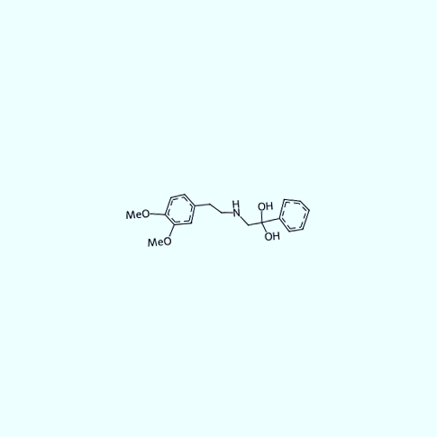 COc1ccc(CCNCC(O)(O)c2ccccc2)cc1OC